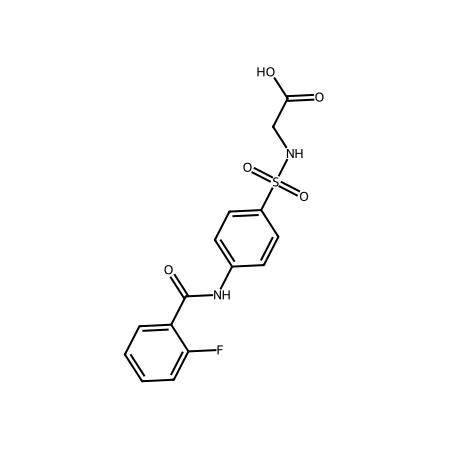 O=C(O)CNS(=O)(=O)c1ccc(NC(=O)c2ccccc2F)cc1